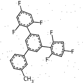 Cc1cccc(-c2cc(-c3c(F)cc(F)cc3F)cc(-c3c(F)cc(F)cc3F)c2)c1